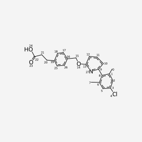 Cc1cc(Cl)cc(C)c1-c1cccc(OCc2ccc(CCC(=O)O)cc2)n1